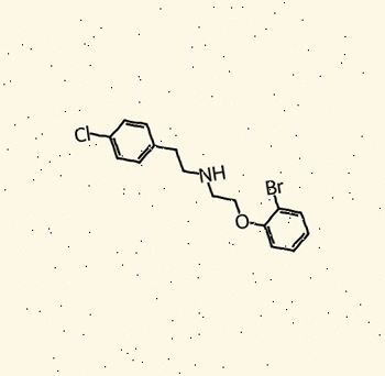 Clc1ccc(CCNCCOc2ccccc2Br)cc1